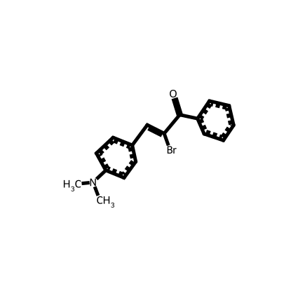 CN(C)c1ccc(C=C(Br)C(=O)c2ccccc2)cc1